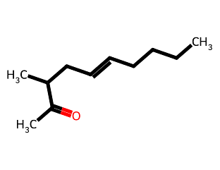 CCCCC=CCC(C)C(C)=O